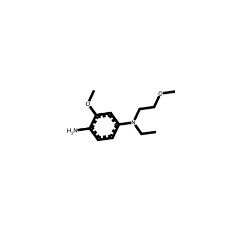 CCN(CCOC)c1ccc(N)c(OC)c1